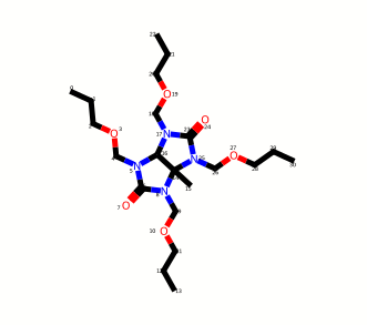 CCCOCN1C(=O)N(COCCC)C2(C)C1N(COCCC)C(=O)N2COCCC